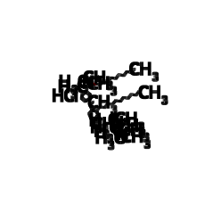 CCCCCCCCCCCCC(C)(c1ccccc1)[N+](C)(C)C.CCCCCCCCCCCCc1cc(C)ccc1CC.C[N+](C)(C)C.C[N+](C)(C)C.Cl